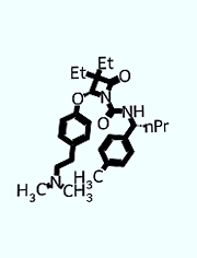 CCC[C@@H](NC(=O)N1C(=O)C(CC)(CC)[C@@H]1Oc1ccc(CCN(C)C)cc1)c1ccc(C)cc1